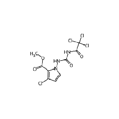 COC(=O)c1c(Cl)ccn1NC(=O)NC(=O)C(Cl)(Cl)Cl